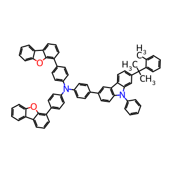 Cc1ccccc1C(C)(C)c1ccc2c3cc(-c4ccc(N(c5ccc(-c6cccc7c6oc6ccccc67)cc5)c5ccc(-c6cccc7c6oc6ccccc67)cc5)cc4)ccc3n(-c3ccccc3)c2c1